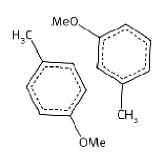 COc1ccc(C)cc1.COc1cccc(C)c1